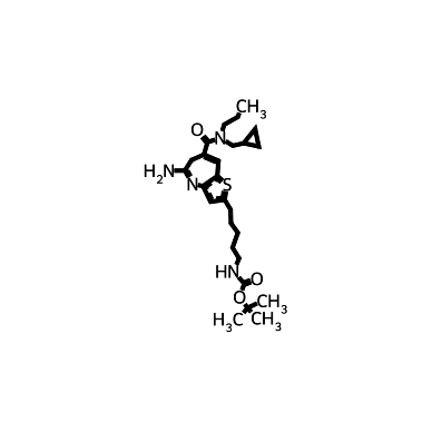 CCCN(CC1CC1)C(=O)C1=Cc2sc(CCCCCNC(=O)OC(C)(C)C)cc2N=C(N)C1